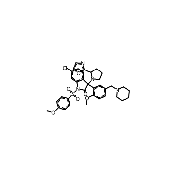 COc1ccc(S(=O)(=O)N2C(=O)C(c3cc(CN4CCCCC4)ccc3OC)(N3CCCC3c3ncco3)c3ccc(Cl)cc32)cc1